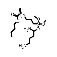 C=CC(=O)OCCCC.CO[Si](CCCN)(OC)OC(N)CCCN